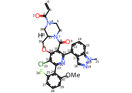 C=CC(=O)N1CCN2C(=O)c3c(-c4cccc5c4cnn5C)nc(-c4c(F)cccc4OC)c(Cl)c3OC[C@H]2C1